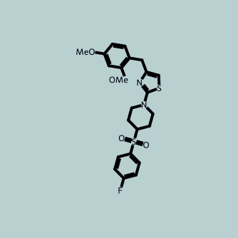 COc1ccc(Cc2csc(N3CCC(S(=O)(=O)c4ccc(F)cc4)CC3)n2)c(OC)c1